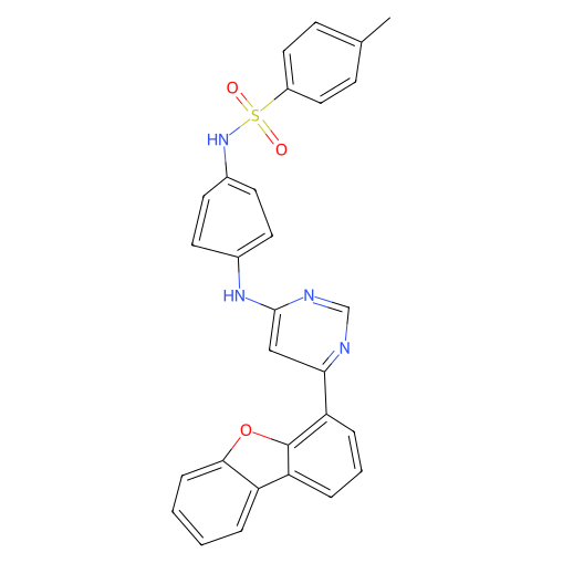 Cc1ccc(S(=O)(=O)Nc2ccc(Nc3cc(-c4cccc5c4oc4ccccc45)ncn3)cc2)cc1